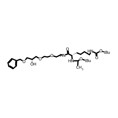 CC(N[C@@H](CCCCNC(=O)OC(C)(C)C)C(=O)NCCOCCOC[C@H](O)COCc1ccccc1)OC(C)(C)C